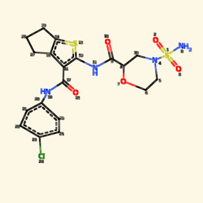 NS(=O)(=O)N1CCOC(C(=O)Nc2sc3c(c2C(=O)Nc2ccc(Cl)cc2)CCC3)C1